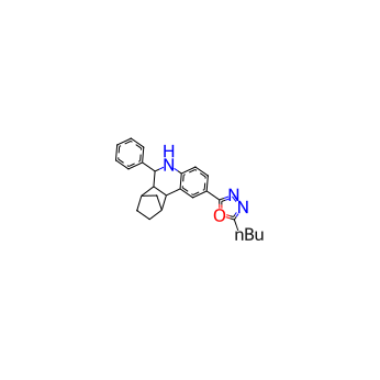 CCCCc1nnc(-c2ccc3c(c2)C2C4CCC(C4)C2C(c2ccccc2)N3)o1